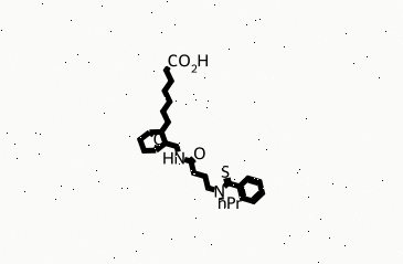 CCCN(CCCC(=O)NCC1C2CCC(O2)C1CCCCCCC(=O)O)C(=S)c1ccccc1